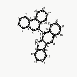 c1ccc2c(c1)cc(-n1c3nc4ccccc4c-3cc3ccccc31)c1ccccc12